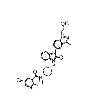 Cc1ncc(Cl)cc1C(=O)N[C@H]1CC[C@H](Cn2c(=O)n(-c3ccc4c(c3)c(C)nn4CCO)c3ccccc32)CC1